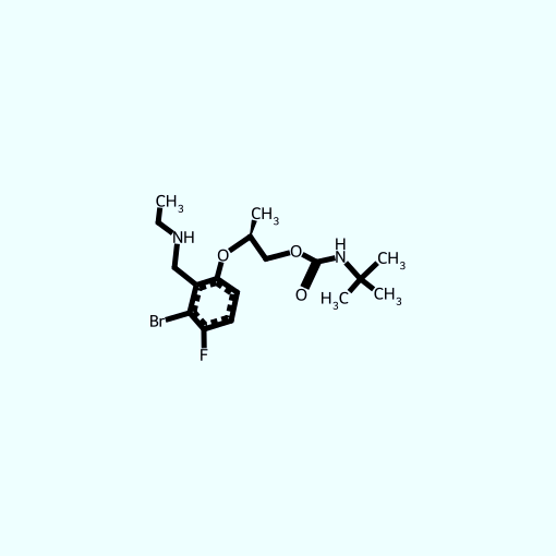 CCNCc1c(O[C@@H](C)COC(=O)NC(C)(C)C)ccc(F)c1Br